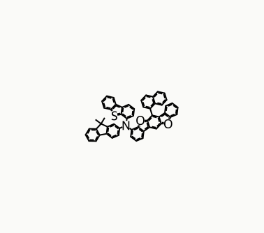 CC1(C)c2ccccc2-c2ccc(N(c3cccc4c3oc3c(-c5cccc6ccccc56)c5c(cc34)oc3ccccc35)c3cccc4c3sc3ccccc34)cc21